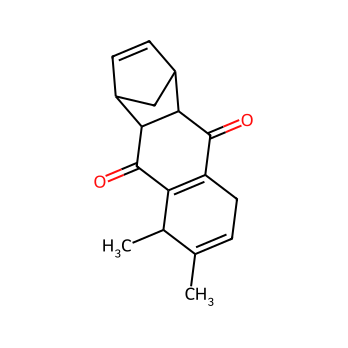 CC1=CCC2=C(C(=O)C3C4C=CC(C4)C3C2=O)C1C